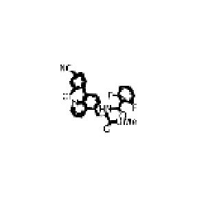 COC(=O)[C@H](Cc1ccc(-c2ccc(C#N)cc2Cl)c2ncccc12)NC(=O)c1c(F)cccc1F